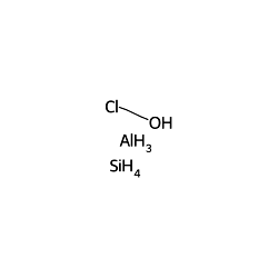 OCl.[AlH3].[SiH4]